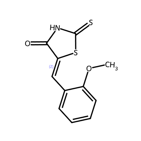 COc1ccccc1/C=C1\SC(=S)NC1=O